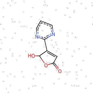 O=C1C=C(c2ncccn2)C(O)O1